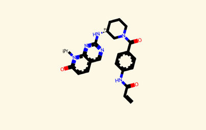 C=CC(=O)Nc1ccc(C(=O)N2CCC[C@@H](Nc3ncc4ccc(=O)n(C(C)C)c4n3)C2)cc1